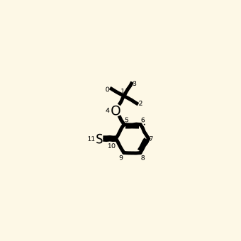 CC(C)(C)OC1=[C]C=CCC1=S